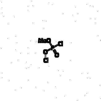 COP(=O)(Cl)OCl